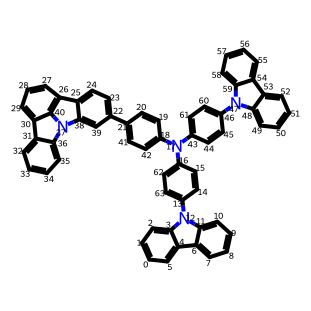 c1ccc2c(c1)c1ccccc1n2-c1ccc(N(c2ccc(-c3ccc4c5cccc6c7ccccc7n(c4c3)c65)cc2)c2ccc(-n3c4ccccc4c4ccccc43)cc2)cc1